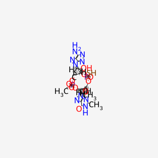 CCO[P@]1(=O)OCC23C[C@@H]2[C@@H](n2cnc4c(N)ncnc42)[C@H](O)[C@@H]3O[P@](=O)(S)OC[C@H]2O[C@@H](n3cnc4c(=O)[nH]c(C)nc43)[C@H](O1)[C@@H]2OC